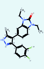 CCn1c(=O)n(CC)c2cc(-c3c(-c4ccc(F)c(F)c4)n[nH]c3C)ccc21